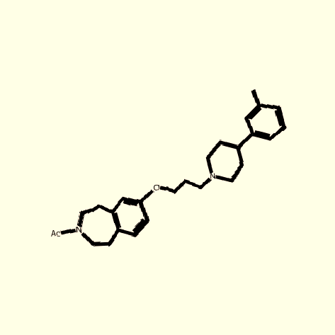 CC(=O)N1CCc2ccc(OCCCN3CCC(c4cccc(C)c4)CC3)cc2CC1